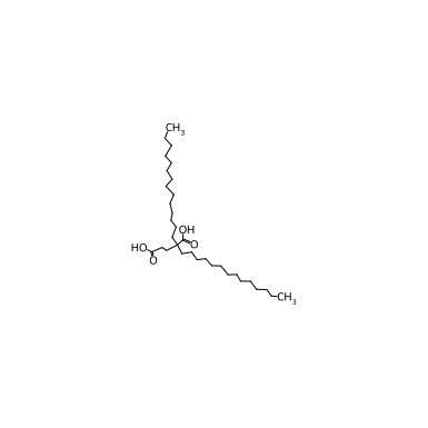 CCCCCCCCCCCCCCC(CCCCCCCCCCCCCC)(CCC(=O)O)C(=O)O